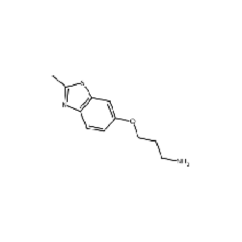 Cc1nc2ccc(OCCCN)cc2s1